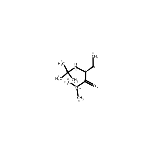 CC[C@H](NC(C)(C)C)C(=O)N(C)C